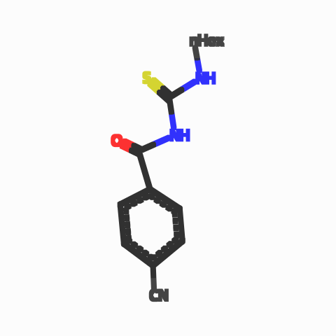 CCCCCCNC(=S)NC(=O)c1ccc(C#N)cc1